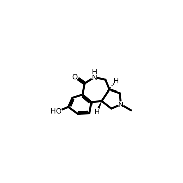 CN1C[C@@H]2CNC(=O)c3cc(O)ccc3[C@H]2C1